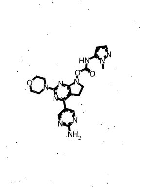 Cn1nccc1NC(=O)ON1CCc2c(-c3cnc(N)nc3)nc(N3CCOCC3)nc21